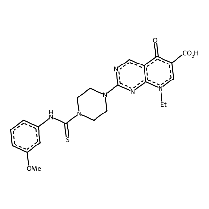 CCn1cc(C(=O)O)c(=O)c2cnc(N3CCN(C(=S)Nc4cccc(OC)c4)CC3)nc21